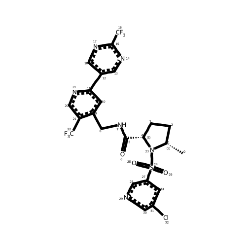 C[C@H]1CC[C@@H](C(=O)NCc2cc(-c3cnc(C(F)(F)F)nc3)ncc2C(F)(F)F)N1S(=O)(=O)c1cncc(Cl)c1